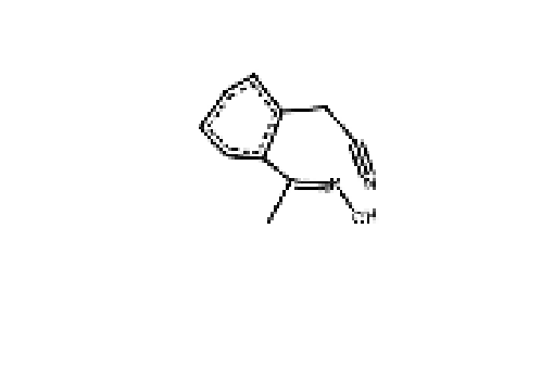 CC(=NO)c1ccccc1CC#N